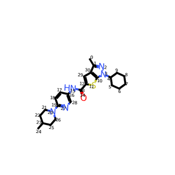 Cc1nn(C2CCCCC2)c2sc(C(=O)Nc3ccc(N4CCC(C)CC4)nc3)cc12